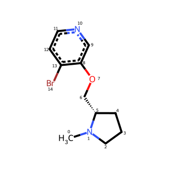 CN1CCC[C@H]1COc1cnccc1Br